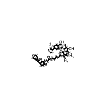 Cc1ncsc1-c1ccc([C@H](C)NC(=O)[C@@H]2C[C@@H](O)CN2C(=O)[C@@H](NC(=O)CCCCNC(=O)COc2c(F)ccc3sc(N4C5CCC4COC5)nc23)C(C)(C)C)cc1